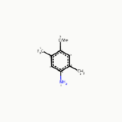 COc1cc(C)c(N)cc1C(F)(F)F